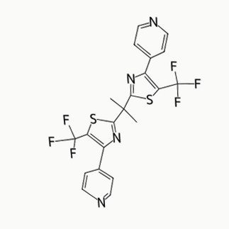 CC(C)(c1nc(-c2ccncc2)c(C(F)(F)F)s1)c1nc(-c2ccncc2)c(C(F)(F)F)s1